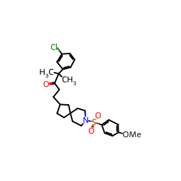 COc1ccc(S(=O)(=O)N2CCC3(CCC(CCC(=O)C(C)(C)c4cccc(Cl)c4)C3)CC2)cc1